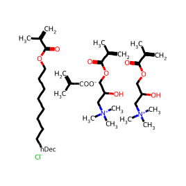 C=C(C)C(=O)OCC(O)C[N+](C)(C)C.C=C(C)C(=O)OCC(O)C[N+](C)(C)C.C=C(C)C(=O)OCCCCCCCCCCCCCCCCCC.C=C(C)C(=O)[O-].[Cl-]